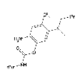 CC(C)CN(C)c1cc(OC(=O)NC(C)(C)C)c(N)cc1C(F)(F)F